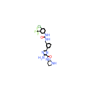 Nc1ncc(-c2cccc(CNC(=O)Nc3ccc(Cl)c(C(F)(F)F)c3)c2)nc1C(=O)NC1CCCNC1